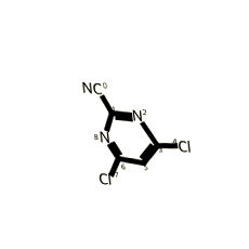 N#Cc1nc(Cl)cc(Cl)n1